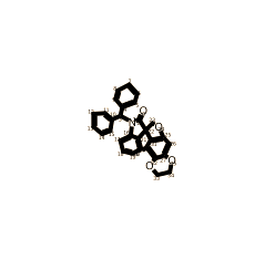 O=C1N(C(c2ccccc2)c2ccccc2)c2ccccc2C12COc1cc3c(c(F)c12)OCCO3